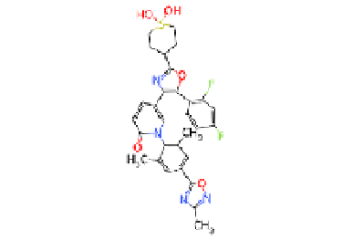 Cc1noc(-c2cc(C)c(-n3cc(-c4nc(C5CCS(O)(O)CC5)oc4-c4ccc(F)cc4F)ccc3=O)c(C)c2)n1